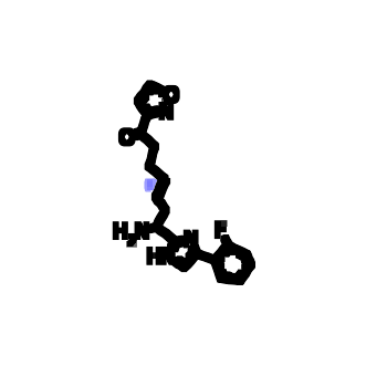 NC(C/C=C/CCC(=O)c1ccon1)c1nc(-c2ccccc2F)c[nH]1